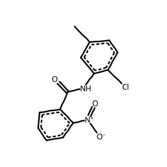 Cc1ccc(Cl)c(NC(=O)c2ccccc2[N+](=O)[O-])c1